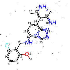 COc1cccc(F)c1CNc1ccc(/C(C(C)=N)=C(\C)N)c2nncn12